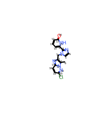 Cc1c(Cn2ccnc2-c2cccc(=O)[nH]2)nc2ccc(Cl)nn12